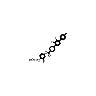 CCCCCCCCOc1ccc(OC(=O)C2CCC(c3ccc(-c4ccc(C)cc4)c(F)c3F)CC2)cc1F